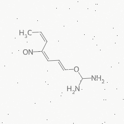 C\C=C/C(=C\C=C\OC(N)N)N=O